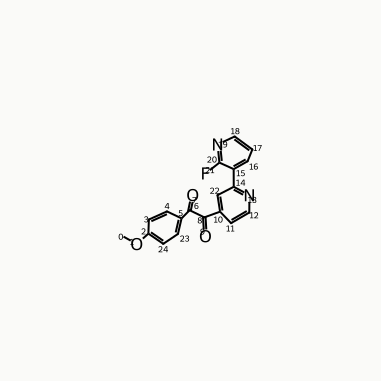 COc1ccc(C(=O)C(=O)c2ccnc(-c3cccnc3F)c2)cc1